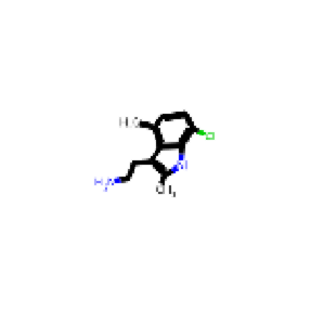 Cc1[nH]c2c(Cl)ccc(C)c2c1CCN